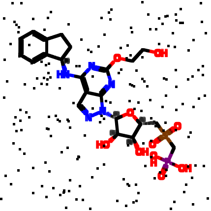 O=P(O)(O)CS(=O)(=O)C[C@H]1O[C@@H](n2ncc3c(N[C@@H]4CCc5ccccc54)nc(OCCO)nc32)[C@H](O)[C@@H]1O